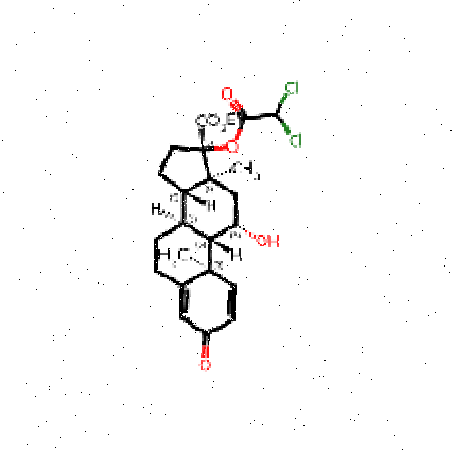 CCOC(=O)[C@]1(OC(=O)C(Cl)Cl)CC[C@H]2[C@@H]3CCC4=CC(=O)C=C[C@]4(C)[C@H]3[C@@H](O)C[C@@]21C